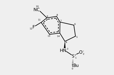 CC(C)(C)[S@@+]([O-])N[C@@H]1CCc2cc(C#N)c(F)cc21